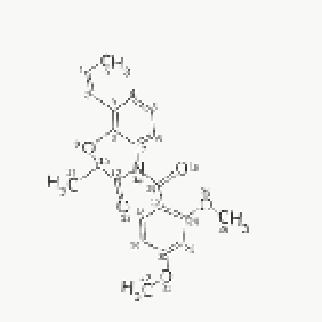 C/C=C\c1cccc2c1OC(C)C(=O)N2C(=O)c1ccc(OC)cc1OC